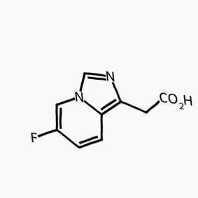 O=C(O)Cc1ncn2cc(F)ccc12